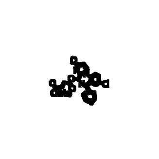 COC(=O)CCC(=O)OC1N=C(c2ccccc2)c2cc(Cl)ccc2-n2ccc(=O)nc21